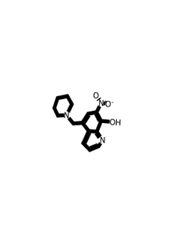 O=[N+]([O-])c1cc(CN2CCCCC2)c2cccnc2c1O